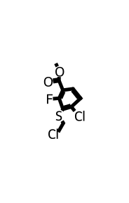 COC(=O)c1ccc(Cl)c(SCCl)c1F